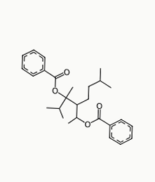 CC(C)CCC(C(C)OC(=O)c1ccccc1)C(C)(OC(=O)c1ccccc1)C(C)C